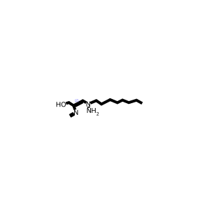 C=N/C(=C\N(N)CCCCCCCC)CO